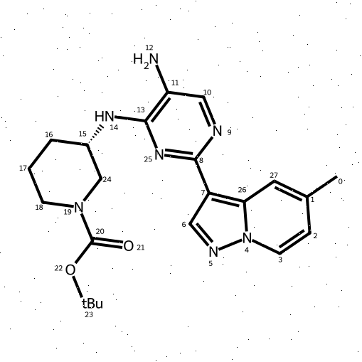 Cc1ccn2ncc(-c3ncc(N)c(N[C@H]4CCCN(C(=O)OC(C)(C)C)C4)n3)c2c1